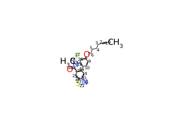 CC#CCCCCOc1cccc(N(C)C(=O)c2ccc3ncsc3c2)c1F